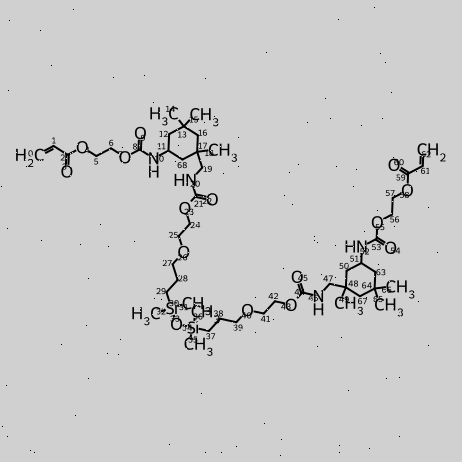 C=CC(=O)OCCOC(=O)NC1CC(C)(C)CC(C)(CNC(=O)OCCOCCC[Si](C)(C)O[Si](C)(C)CCCOCCOC(=O)NCC2(C)CC(NC(=O)OCCOC(=O)C=C)CC(C)(C)C2)C1